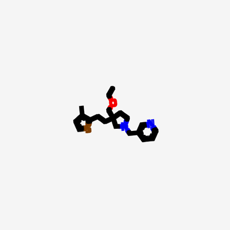 CCOCC1(CCc2sccc2C)CCN(Cc2cccnc2)C1